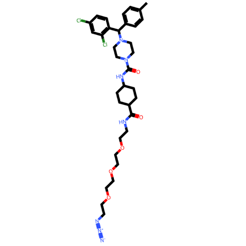 Cc1ccc(C(c2ccc(Cl)cc2Cl)N2CCN(C(=O)NC3CCC(C(=O)NCCOCCOCCOCCN=[N+]=[N-])CC3)CC2)cc1